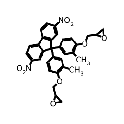 Cc1cc(C2(c3ccc(OCC4CO4)c(C)c3)c3cc([N+](=O)[O-])ccc3-c3ccc([N+](=O)[O-])cc32)ccc1OCC1CO1